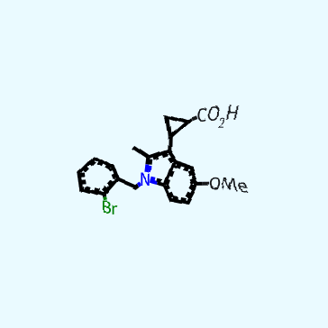 COc1ccc2c(c1)c(C1CC1C(=O)O)c(C)n2Cc1ccccc1Br